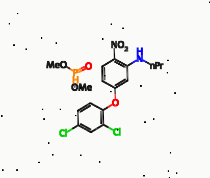 CCCNc1cc(Oc2ccc(Cl)cc2Cl)ccc1[N+](=O)[O-].CO[PH](=O)OC